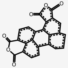 O=C1OC(=O)c2ccc3c4c2c1ccc4c1cccc2cc4c(=O)oc(=O)c4c3c21